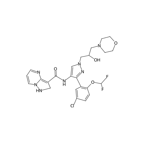 O=C(Nc1cn(CC(O)CN2CCOCC2)nc1-c1cc(Cl)ccc1OC(F)F)C1=C2N=CC=CN2NC1